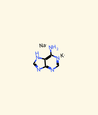 Nc1ncnc2nc[nH]c12.[K].[Na]